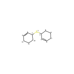 C1=CC(SC2C=CCCC2)CCC1